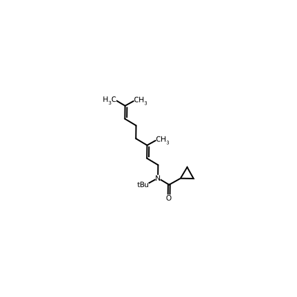 CC(C)=CCC/C(C)=C/CN(C(=O)C1CC1)C(C)(C)C